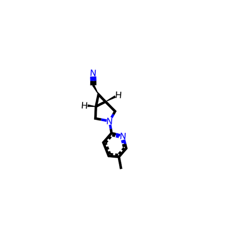 Cc1ccc(N2C[C@@H]3[C@@H](C#N)[C@@H]3C2)nc1